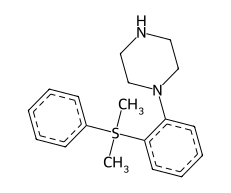 CS(C)(c1ccccc1)c1ccccc1N1CCNCC1